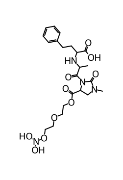 CC(NC(CCc1ccccc1)C(=O)O)C(=O)N1C(=O)N(C)CC1C(=O)OCCOCCON(O)O